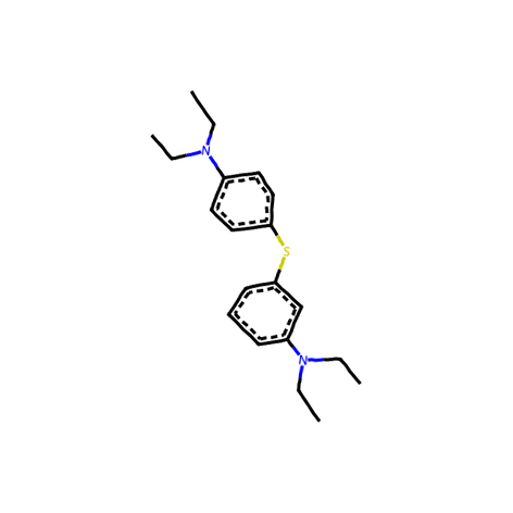 CCN(CC)c1ccc(Sc2cccc(N(CC)CC)c2)cc1